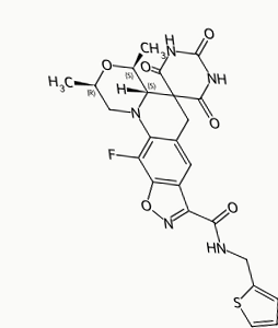 C[C@@H]1CN2c3c(cc4c(C(=O)NCc5cccs5)noc4c3F)CC3(C(=O)NC(=O)NC3=O)[C@H]2[C@H](C)O1